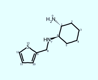 N[C@@H]1CCCC[C@H]1NCc1cccs1